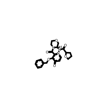 O=C1c2c(OCc3ccccc3)c(=O)ccn2N(C(=O)C2CCCO2)[C@H]2COCCN12